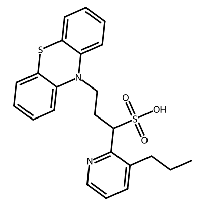 CCCc1cccnc1C(CCN1c2ccccc2Sc2ccccc21)S(=O)(=O)O